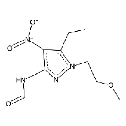 CCc1c([N+](=O)[O-])c(NC=O)nn1CCOC